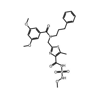 CONS(=O)(=O)NC(=O)c1nc(CN(CCCc2ccccc2)C(=O)c2cc(OC)cc(OC)c2)sc1C